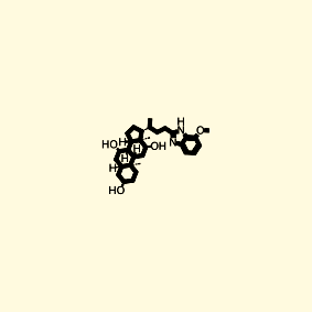 COc1cccc2nc(CCC(C)[C@H]3CC[C@H]4[C@@H]5[C@H](O)C[C@@H]6C[C@H](O)CC[C@]6(C)[C@H]5C[C@H](O)[C@]34C)[nH]c12